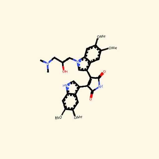 COc1cc2[nH]cc(C3=C(c4cn(CC(O)CN(C)C)c5cc(OC)c(OC)cc45)C(=O)NC3=O)c2cc1OC